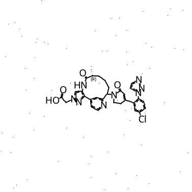 C[C@@H]1CCCC(N2CCC(c3cc(Cl)ccc3-n3ccnn3)=CC2=O)c2cc(ccn2)-c2nn(CC(=O)O)cc2NC1=O